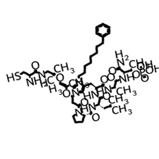 C/C(=C\OC(C)(C)CNC(=O)[C@@H](N)CS)OCCC(=O)N1CCC[C@H]1C(=O)N[C@@H](CC(C)C)C(=O)N[C@@H](Cc1cncn1CCCCCCCCc1ccccc1)C(=O)N[C@@H](C)C(=O)N[C@H](C(N)=O)[C@@H](C)OP(=O)(O)O